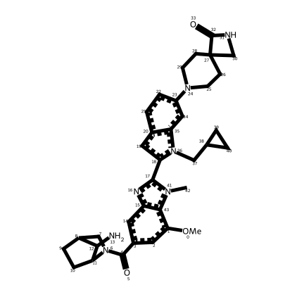 COc1cc(C(=O)N2CC3CCC2C3N)cc2nc(-c3cc4ccc(N5CCC6(CC5)CNC6=O)cc4n3CC3CC3)n(C)c12